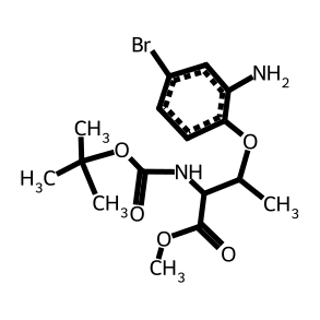 COC(=O)C(NC(=O)OC(C)(C)C)C(C)Oc1ccc(Br)cc1N